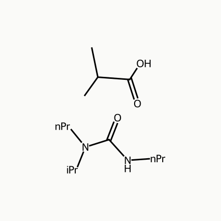 CC(C)C(=O)O.CCCNC(=O)N(CCC)C(C)C